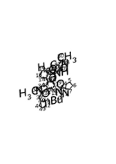 CCCCC1=NC2(CCCC2)C(=O)N1Cc1ccc(-c2ccccc2S(=O)(=O)Nc2onc(C)c2C)c(CN(C)C(=O)CC2CCCC2)c1